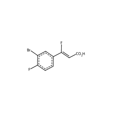 O=C(O)/C=C(\F)c1ccc(F)c(Br)c1